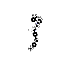 C/C(=C\NC(=O)/N=C1\SCCC(C)N1c1ccccc1C(C)C)c1ccc(-c2ncn(-c3ccc(OC(F)(F)F)cc3)n2)cc1